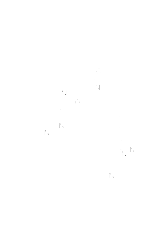 Cc1ccc(C(=O)N2CCC(c3ccc(-c4cnn(CCN(C)C)c4)cc3)CC2)cc1NC(=O)c1ccc(NC(C)C)nc1